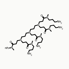 CCCN(C)C(=O)CCN(CCCN(CCCN(CCC(=O)N(C)CCCN)CCC(=O)N(C)CCCN)CCC(=O)N(C)CCCN)CCC(=O)N(C)CCCN